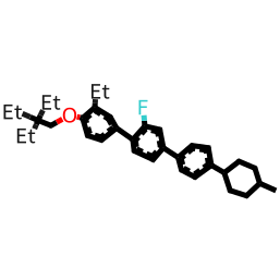 CCc1cc(-c2ccc(-c3ccc(C4CCC(C)CC4)cc3)cc2F)ccc1OCC(CC)(CC)CC